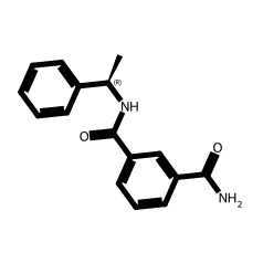 C[C@@H](NC(=O)c1cccc(C(N)=O)c1)c1ccccc1